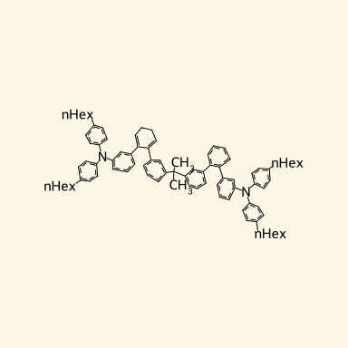 CCCCCCc1ccc(N(c2ccc(CCCCCC)cc2)c2cccc(C3=CCCC=C3c3cccc(C(C)(C)c4cccc(-c5ccccc5-c5cccc(N(c6ccc(CCCCCC)cc6)c6ccc(CCCCCC)cc6)c5)c4)c3)c2)cc1